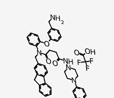 NCc1cccc(Oc2ccccc2N(Cc2ccc3c(c2)Cc2ccccc2-3)C(=O)CCC(=O)NN2CCN(c3ccccc3)CC2)c1.O=C(O)C(F)(F)F